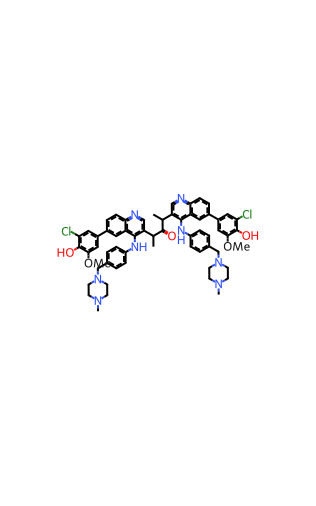 COc1cc(-c2ccc3ncc(C(C)C(=O)C(C)c4cnc5ccc(-c6cc(Cl)c(O)c(OC)c6)cc5c4Nc4ccc(CN5CCN(C)CC5)cc4)c(Nc4ccc(CN5CCN(C)CC5)cc4)c3c2)cc(Cl)c1O